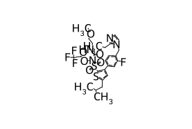 CCc1nccn1Cc1ccc(-c2cc(CC(C)C)sc2S(=O)(=O)N(OC(=O)C(F)(F)F)C(=O)NCCOC)cc1F